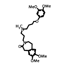 COc1ccc(OCCCCN(C)CCCN2CCc3cc(OC)c(OC)cc3CC2=O)cc1OC